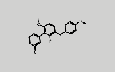 COc1ccc(Cc2ccc(OC)c(-c3cccc(Cl)c3)c2F)cn1